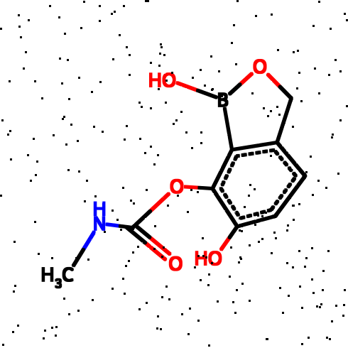 CNC(=O)Oc1c(O)ccc2c1B(O)OC2